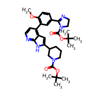 COc1ccc(C2=NCCN2C(=O)OC(C)(C)C)cc1-c1ccnc2[nH]c(C3CCCN(C(=O)OC(C)(C)C)C3)cc12